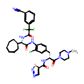 CN1CCN(C(=O)[C@@H](Cc2ccc(NC(=O)[C@@H](NC(=O)C(F)(F)c3cccc(C#N)c3)C3CCCCCC3)c(F)c2)NC(=O)c2cnns2)CC1